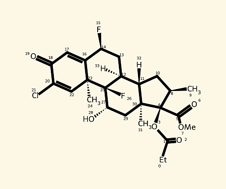 CCC(=O)O[C@]1(C(=O)OC)[C@H](C)C[C@H]2[C@@H]3C[C@H](F)C4=CC(=O)C(Cl)=C[C@]4(C)[C@@]3(F)[C@@H](O)C[C@@]21C